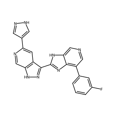 Fc1cccc(-c2cncc3[nH]c(-c4n[nH]c5cnc(-c6cn[nH]c6)cc45)nc23)c1